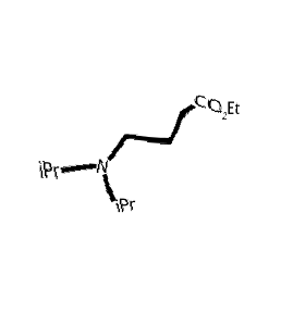 CCOC(=O)CCN(C(C)C)C(C)C